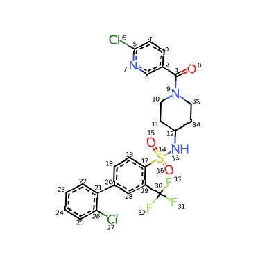 O=C(c1ccc(Cl)nc1)N1CCC(NS(=O)(=O)c2ccc(-c3ccccc3Cl)cc2C(F)(F)F)CC1